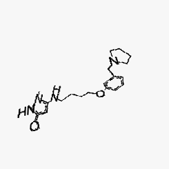 Cn1[nH]c(=O)cc1NCCCCOc1cccc(CN2CCCC2)c1